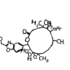 CCCC1CC(C)CCCC2(C)OC2(O)C(O)C(c2ccc3oc(CO)nc3c2)OC(=O)CCC(C)(C)C1=O